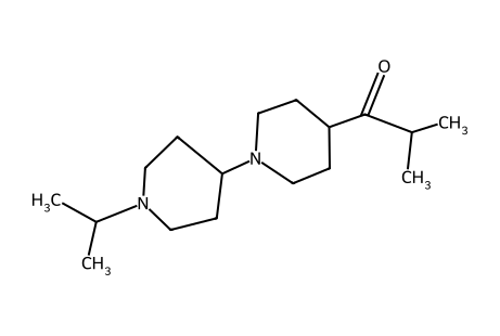 CC(C)C(=O)C1CCN(C2CCN(C(C)C)CC2)CC1